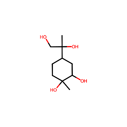 CC1(O)CCC(C(C)(O)CO)CC1O